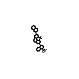 CC1(C)c2cc(-c3ccc4ccccc4c3)cc3ccc4cc(-c5ccc(Br)c6ccccc56)cc1c4c23